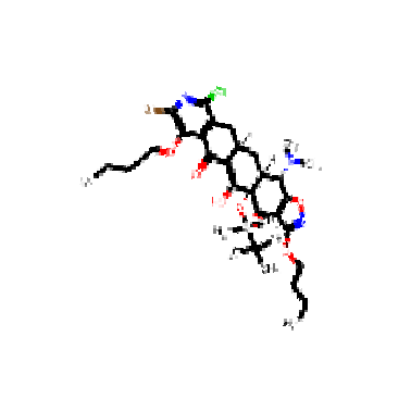 CCCCOc1noc2c1C(=O)[C@@]1(O[Si](C)(C)C(C)(C)C)C(O)=C3C(=O)c4c(c(Cl)nc(Br)c4OCCCC)C[C@H]3C[C@H]1[C@@H]2N(C)C